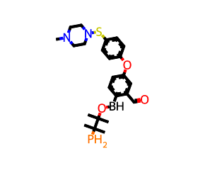 CN1CCN(Sc2ccc(Oc3ccc(BOC(C)(C)C(C)(C)P)c(C=O)c3)cc2)CC1